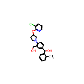 Cc1ccccc1C(O)c1ccc(N2CCC(Oc3ncccc3Cl)C2)c(CO)c1